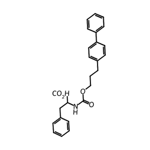 O=C(NC(Cc1ccccc1)C(=O)O)OCCCc1ccc(-c2ccccc2)cc1